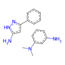 CN(C)c1cccc(N)c1.Nc1cc(-c2ccccc2)n[nH]1